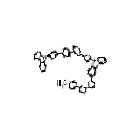 C[C@@H]1C=CC(c2cccc(-c3cccc(-c4ccc5c(c4)c4ccccc4n5C4=CCC(c5cccc(-c6ccc(-c7ccc(-n8c9ccccc9c9ccccc98)cc7)cc6)c5)C=C4)c3)c2)=CC1